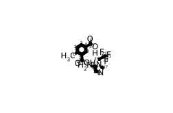 Cc1ccc(C(=O)O)cc1C(=O)O.Nc1cncn1CC(F)(F)F